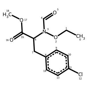 CCON(C=O)C(Cc1ccc(Cl)cc1)C(=O)OC